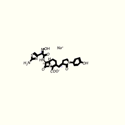 Nc1nc(/C(=N/O)C(=O)N[C@@H]2C(=O)N3C(C(=O)[O-])=C(/C=C4\CCN(c5ccc(O)cc5)C4=O)CC[C@H]23)cs1.[Na+]